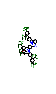 N#Cc1cc(-n2c3ccccc3c3cc(-c4ccc(C(F)(F)F)cc4C(F)(F)F)ccc32)c(-c2cc(C(F)(F)F)cc(C(F)(F)F)c2)cc1-n1c2ccccc2c2cc(-c3ccc(C(F)(F)F)cc3C(F)(F)F)ccc21